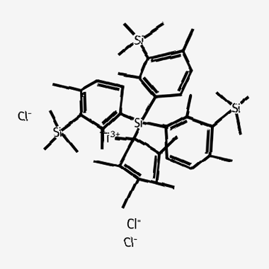 CC1=C(C)[C]([Ti+3])([Si](c2ccc(C)c([Si](C)(C)C)c2C)(c2ccc(C)c([Si](C)(C)C)c2C)c2ccc(C)c([Si](C)(C)C)c2C)C(C)=C1C.[Cl-].[Cl-].[Cl-]